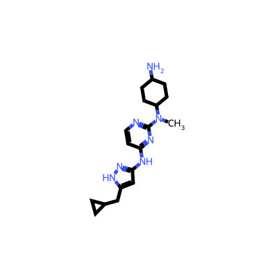 CN(c1nccc(Nc2cc(CC3CC3)[nH]n2)n1)C1CCC(N)CC1